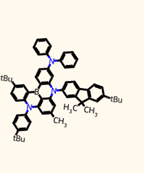 Cc1cc2c3c(c1)N(c1ccc4c(c1)C(C)(C)c1cc(C(C)(C)C)ccc1-4)c1cc(N(c4ccccc4)c4ccccc4)ccc1B3c1cc(C(C)(C)C)ccc1N2c1ccc(C(C)(C)C)cc1